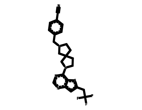 N#Cc1ccc(CN2CCC3(CCN(c4ncnc5cc(CC(F)(F)F)sc45)C3)C2)cc1